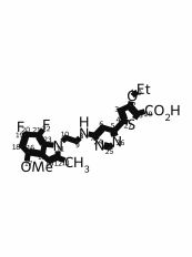 CCOc1cc(-c2cc(NCCn3c(C)cc4c(OC)cc(F)c(F)c43)ncn2)sc1C(=O)O